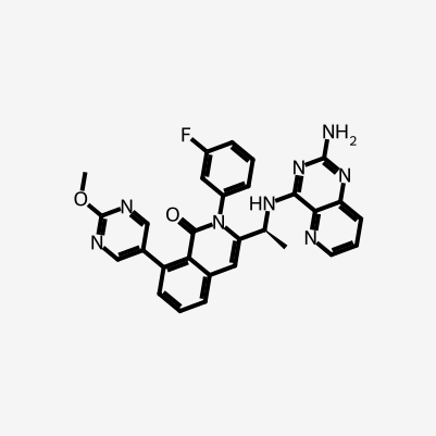 COc1ncc(-c2cccc3cc([C@H](C)Nc4nc(N)nc5cccnc45)n(-c4cccc(F)c4)c(=O)c23)cn1